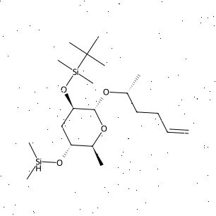 C=CCC[C@@H](C)O[C@@H]1O[C@@H](C)[C@H](O[SiH](C)C)C[C@H]1O[Si](C)(C)C(C)(C)C